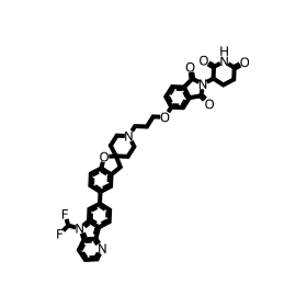 O=C1CCC(N2C(=O)c3ccc(OCCCN4CCC5(CC4)Cc4cc(-c6ccc7c8ncccc8n(C(F)F)c7c6)ccc4O5)cc3C2=O)C(=O)N1